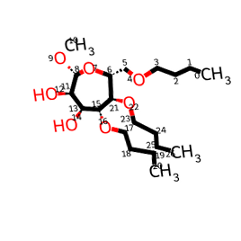 CCCCOC[C@H]1O[C@@H](OC)[C@H](O)[C@H](O)[C@@H](OCCCC)[C@@H]1OCCCC